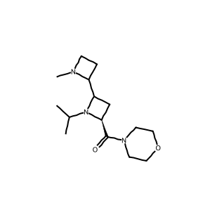 CC(C)N1C(C2CCN2C)C[C@H]1C(=O)N1CCOCC1